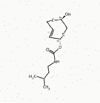 CC(C)CCNC(=O)O[C@@H]1/C=C/CC[C@@H](O)CC1